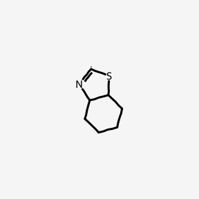 [C]1=NC2CCCCC2S1